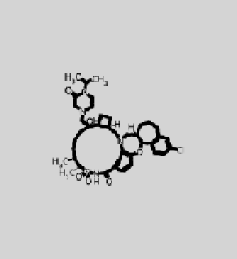 CC(C)N1CCN(C[C@]2(O)CCC[C@H](C)[C@@H](C)S(=O)(=O)NC(=O)c3ccc4c(c3)N(C[C@H]3CCCc5cc(Cl)ccc5C3O4)C[C@@H]3CC[C@H]32)CC1=O